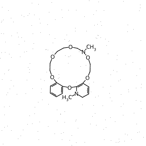 CN1COCCOCCOc2ccccc2OC2=C(C=CCN2C)OCCO1